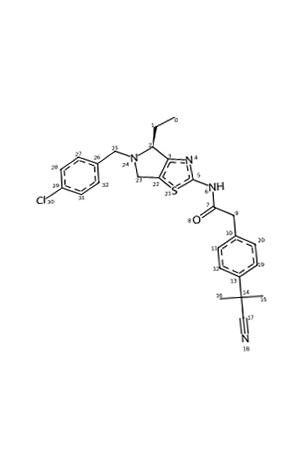 CC[C@H]1c2nc(NC(=O)Cc3ccc(C(C)(C)C#N)cc3)sc2CN1Cc1ccc(Cl)cc1